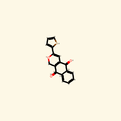 O=C1C2=C(COC(c3cccs3)=C2)C(=O)c2ccccc21